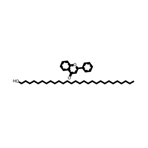 CCCCCCCCCCCCCCCCCCCCCCCCCCCCO.O=c1cc(-c2ccccc2)oc2ccccc12